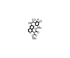 CC(C)(C)OC(=O)N(C(=O)OC(C)(C)C)c1nccc2cc(NC(C(=O)O)c3cccc(Cl)c3)ccc12